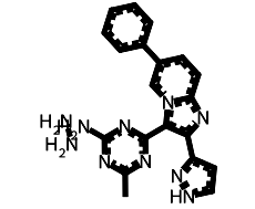 Cc1nc(N)nc(-c2c(-c3cc[nH]n3)nc3ccc(-c4ccccc4)cn23)n1.NN